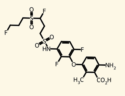 Cc1c(Oc2c(F)ccc(NS(=O)(=O)CCC(F)S(=O)(=O)CCCF)c2F)ccc(N)c1C(=O)O